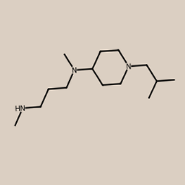 CNCCCN(C)C1CCN(CC(C)C)CC1